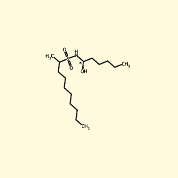 CCCCCCCCC(C)S(=O)(=O)N[C@H](O)CCCCC